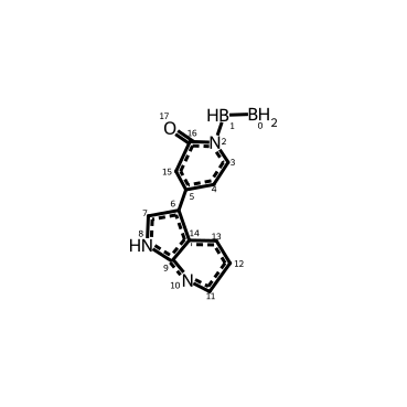 BBn1ccc(-c2c[nH]c3ncccc23)cc1=O